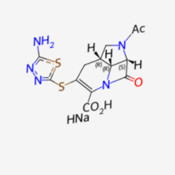 CC(=O)N1C[C@H]2CC(Sc3nnc(N)s3)=C(C(=O)O)N3C(=O)[C@@H]1[C@@H]23.[NaH]